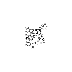 Cc1c(O)cccc1C(=O)N[C@@H](Cc1ccccc1)[C@H](O)CN(CC(C)C)[S+]([O-])c1cc(OC2CCCCO2)cc(OC2CCCCO2)c1